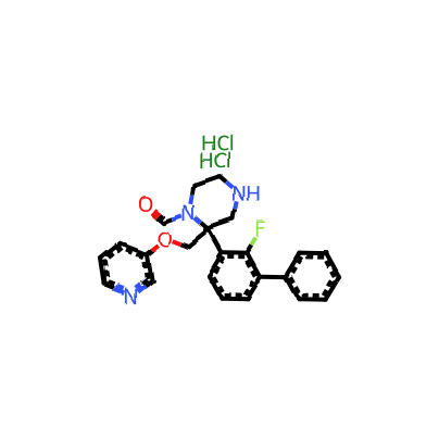 Cl.Cl.O=CN1CCNCC1(COc1cccnc1)c1cccc(-c2ccccc2)c1F